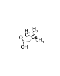 [CH3][Ge]([CH3])([CH3])[CH2]C(=O)O